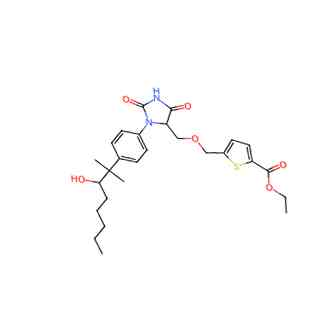 CCCCCC(O)C(C)(C)c1ccc(N2C(=O)NC(=O)C2COCc2ccc(C(=O)OCC)s2)cc1